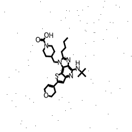 CCCCc1nc2c(NC(C)(C)C)nc3cc(C4=CCOCC4)sc3c2n1CC1CCN(C(=O)O)CC1